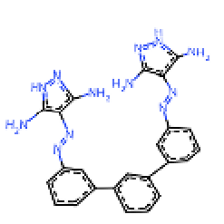 Nc1n[nH]c(N)c1N=Nc1cccc(-c2cccc(-c3cccc(N=Nc4c(N)n[nH]c4N)c3)c2)c1